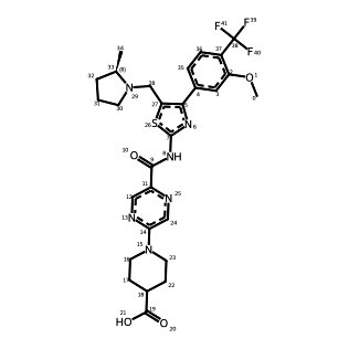 COc1cc(-c2nc(NC(=O)c3cnc(N4CCC(C(=O)O)CC4)cn3)sc2CN2CCC[C@H]2C)ccc1C(F)(F)F